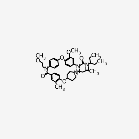 CCCCN1CCC(Oc2ccc(C(=O)N(CCOC)c3ccc(Oc4ccc(NC(=O)NC(CC)CC)cc4OC)cc3)cc2C)CC1